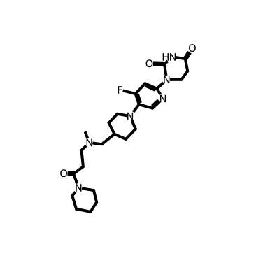 CN(CCC(=O)N1CCCCC1)CC1CCN(c2cnc(N3CCC(=O)NC3=O)cc2F)CC1